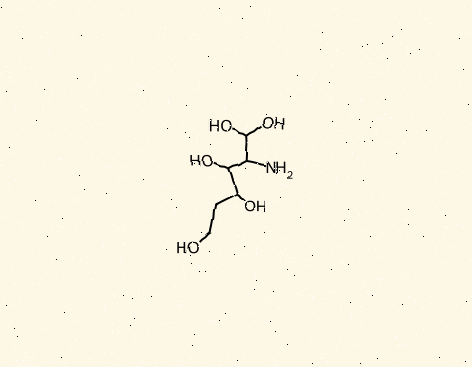 NC(C(O)O)C(O)C(O)CCO